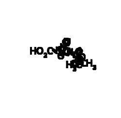 CN(C)C(=O)C(CCN1CCC2(CC1)C(=O)N(CCC(=O)O)CN2c1ccccc1)(c1ccccc1)c1ccccc1